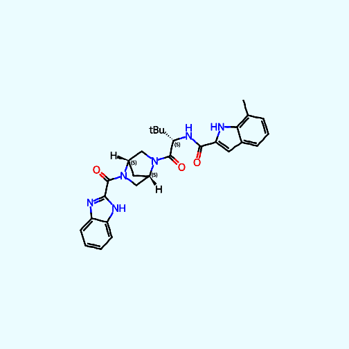 Cc1cccc2cc(C(=O)N[C@H](C(=O)N3C[C@@H]4C[C@H]3CN4C(=O)c3nc4ccccc4[nH]3)C(C)(C)C)[nH]c12